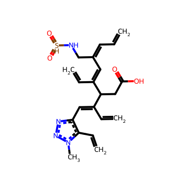 C=C/C=C(\C=C(/C=C)C(CC(=O)O)/C(C=C)=C/c1nnn(C)c1C=C)CN[SH](=O)=O